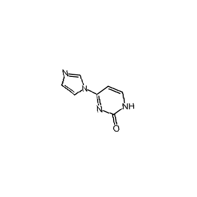 O=c1nc(-n2ccnc2)cc[nH]1